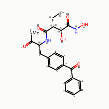 CNC(=O)[C@H](Cc1ccc(C(=O)c2ccccc2)cc1)NC(=O)[C@H](CC(C)C)[C@H](O)C(=O)NO